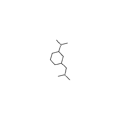 CN(C)CC1CCCC(N(C)C)C1